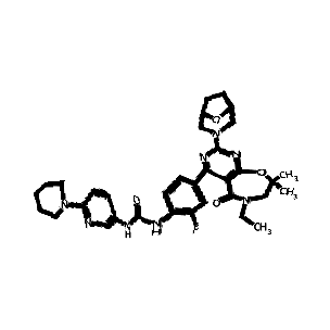 CCN1CC(C)(C)Oc2nc(N3CC4CCC(C3)O4)nc(-c3ccc(NC(=O)Nc4ccc(N5CCCCC5)nc4)c(F)c3)c2C1=O